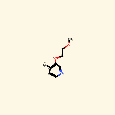 COCCOc1[c]nccc1C